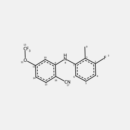 Cc1c(F)cccc1Nc1cc(OC(F)(F)F)ccc1C#N